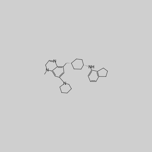 CN1CC=Nc2c(C[C@H]3CC[C@@H](Nc4cccc5c4CCC5)CC3)cc(N3CCCCC3)cc21